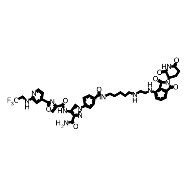 NC(=O)c1nn(-c2ccc(C(=O)NCCCCCNCCNc3cccc4c3C(=O)N(C3CCC(=O)NC3=O)C4=O)cc2)cc1NC(=O)c1coc(-c2ccnc(NCC(F)(F)F)c2)n1